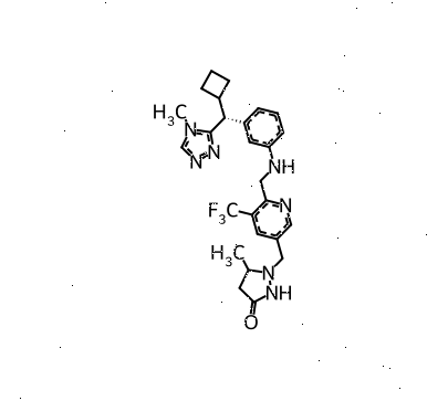 CC1CC(=O)NN1Cc1cnc(CNc2cccc([C@H](c3nncn3C)C3CCC3)c2)c(C(F)(F)F)c1